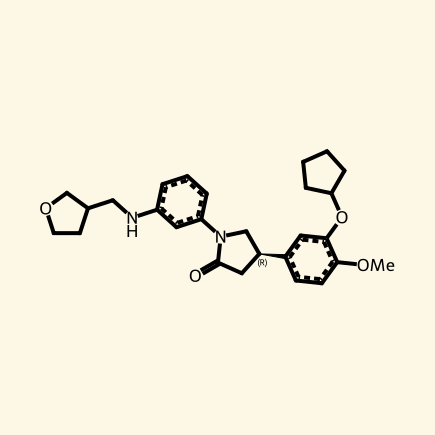 COc1ccc([C@H]2CC(=O)N(c3cccc(NCC4CCOC4)c3)C2)cc1OC1CCCC1